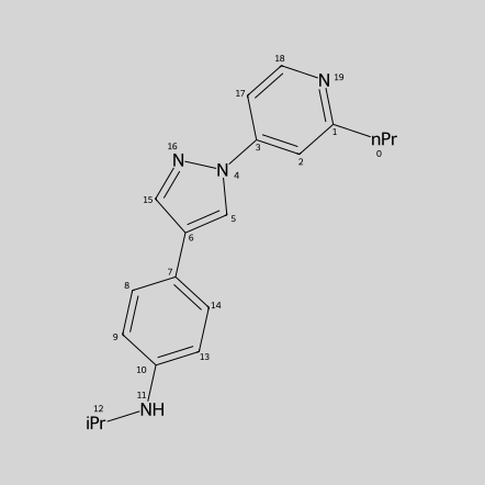 CCCc1cc(-n2cc(-c3ccc(NC(C)C)cc3)cn2)ccn1